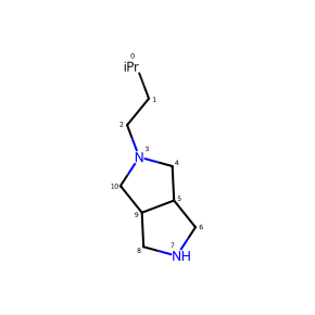 CC(C)CCN1CC2CNCC2C1